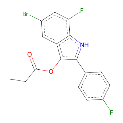 CCC(=O)Oc1c(-c2ccc(F)cc2)[nH]c2c(F)cc(Br)cc12